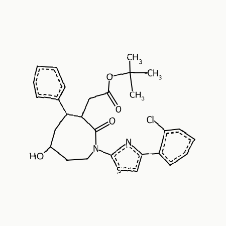 CC(C)(C)OC(=O)CC1C(=O)N(c2nc(-c3ccccc3Cl)cs2)CCC(O)CC1c1ccccc1